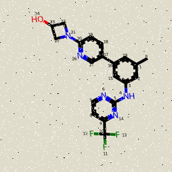 Cc1cc(Nc2nccc(C(F)(F)F)n2)cc(-c2ccc(N3CC(O)C3)nc2)c1